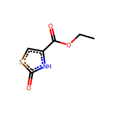 CCOC(=O)c1csc(=O)[nH]1